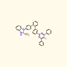 CC1Nc2ccccc2N1c1ccc(-c2ccccc2-c2cccc(-c3nc(-c4ccccc4)c(I)c(-c4ccccc4)n3)c2)cc1